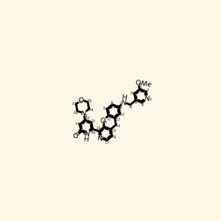 COc1cncc(CNc2ccc3c(c2)Cc2ccnc(-c4cc(N5CCOCC5)cc(=O)[nH]4)c2O3)c1